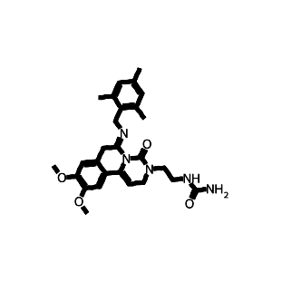 COc1cc2c(cc1OC)C1=CCN(CCNC(N)=O)C(=O)N1C(=NCc1c(C)cc(C)cc1C)C2